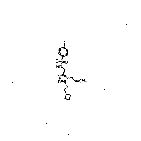 C=CCn1c(CNS(=O)(=O)c2ccc(Cl)cc2)nnc1SCC1CCC1